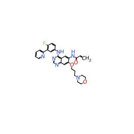 C=CC(=O)Nc1cc2c(Nc3ccc(F)c(-c4ccccn4)c3)ncnc2cc1OCCCN1CCOCC1